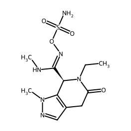 CCN1C(=O)Cc2cnn(C)c2[C@H]1/C(=N/OS(N)(=O)=O)NC